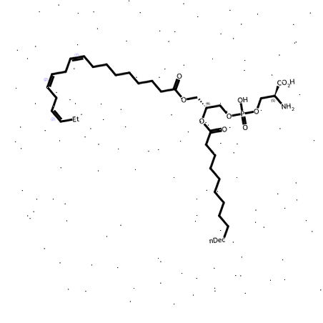 CC/C=C\C/C=C\C/C=C\CCCCCCCC(=O)OC[C@H](COP(=O)(O)OC[C@H](N)C(=O)O)OC(=O)CCCCCCCCCCCCCCCCCC